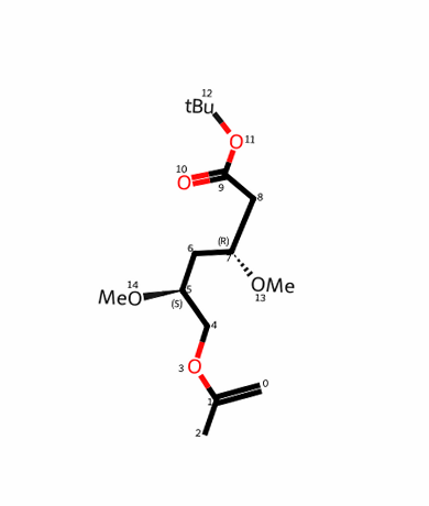 C=C(C)OC[C@H](C[C@H](CC(=O)OC(C)(C)C)OC)OC